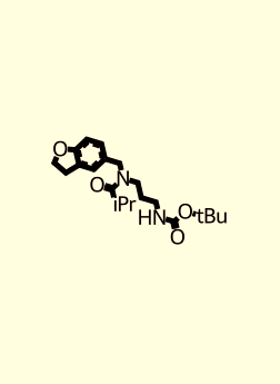 CC(C)C(=O)N(CCCNC(=O)OC(C)(C)C)Cc1ccc2c(c1)CCO2